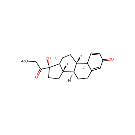 CC(=O)OCC(=O)[C@@]1(O)CC[C@H]2[C@@H]3CCC4=CC(=O)C=C[C@]4(C)[C@H]3CC[C@@]21C